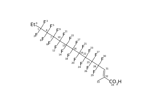 CCC(F)(F)C(F)(F)C(F)(F)C(F)(F)C(F)(F)C(F)(F)C(F)(F)C(F)(F)C(F)(F)C(F)(F)C=C(C)C(=O)O